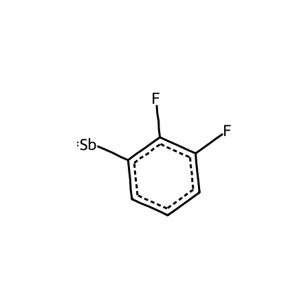 Fc1ccc[c]([Sb])c1F